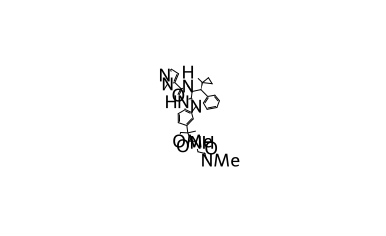 CNC(=O)CNC(=O)C(C)(COC)c1ccc2[nH]c([C@@H](NC(=O)c3ccnn3C)[C@H](c3ccccc3)C3(C)CC3)nc2c1